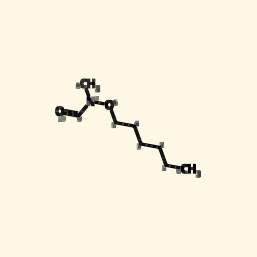 CCCCCCON(C)C=O